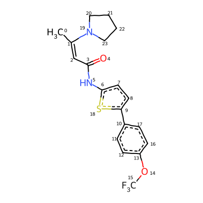 CC(=CC(=O)Nc1ccc(-c2ccc(OC(F)(F)F)cc2)s1)N1CCCC1